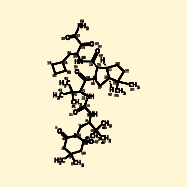 CC1(C)CC(=O)N(C[C@@H](NC(=O)N[C@H](C(=O)N2C[C@H]3[C@H](CCC3(C)C)[C@H]2C(=O)NC(CC2CCC2)C(=O)C(N)=O)C(C)(C)C)C(C)(C)C)C(=O)C1